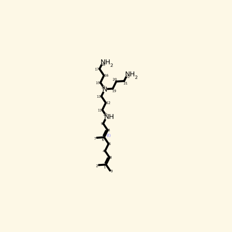 CC(C)=CCC/C(C)=C/CNCCCN(CCCN)CCCN